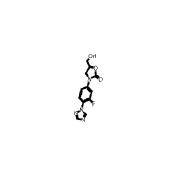 O=C1OC(CO)CN1c1ccc(-n2cncn2)c(F)c1